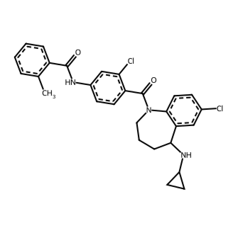 Cc1ccccc1C(=O)Nc1ccc(C(=O)N2CCCC(NC3CC3)c3cc(Cl)ccc32)c(Cl)c1